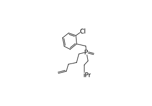 C=CCCCP(=C)(CCC(C)C)Cc1ccccc1Cl